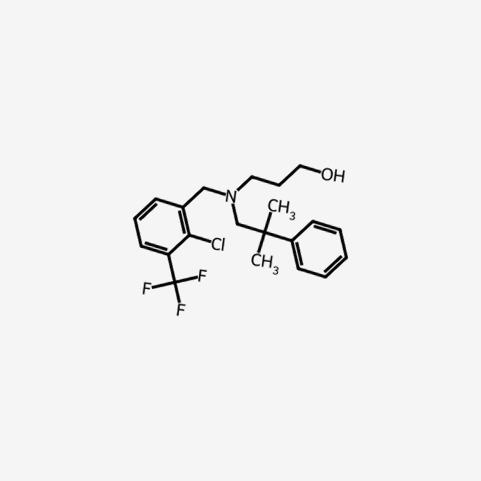 CC(C)(CN(CCCO)Cc1cccc(C(F)(F)F)c1Cl)c1ccccc1